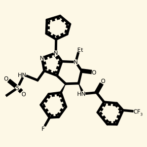 CCN1C(=O)[C@@H](NC(=O)c2cccc(C(F)(F)F)c2)[C@@H](c2ccc(F)cc2)c2c(CNS(C)(=O)=O)nn(-c3ccccc3)c21